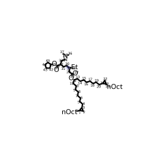 CCCCCCCCC1CC1CCCCCCCCC(CCCCCCCCC1CC1CCCCCCCC)OC(=O)C/C(=C\CC(CCN(C)C)C(=O)OC1CCCC1)CC